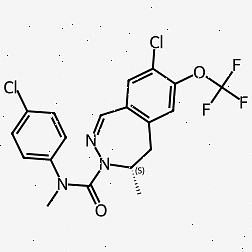 C[C@H]1Cc2cc(OC(F)(F)F)c(Cl)cc2C=NN1C(=O)N(C)c1ccc(Cl)cc1